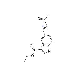 CCOC(=O)c1cnc2ccc(/C=C/C(C)=O)cn12